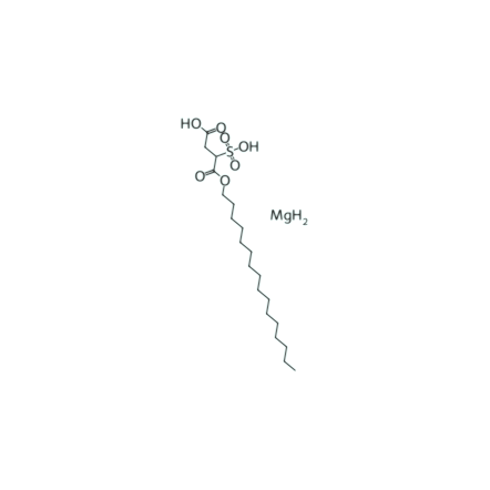 CCCCCCCCCCCCCCCCOC(=O)C(CC(=O)O)S(=O)(=O)O.[MgH2]